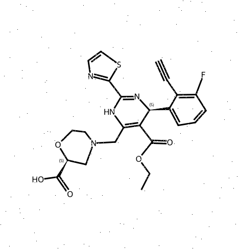 C#Cc1c(F)cccc1[C@@H]1N=C(c2nccs2)NC(CN2CCO[C@H](C(=O)O)C2)=C1C(=O)OCC